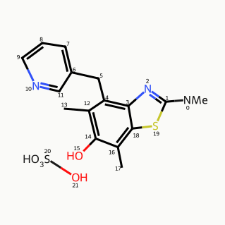 CNc1nc2c(Cc3cccnc3)c(C)c(O)c(C)c2s1.O=S(=O)(O)O